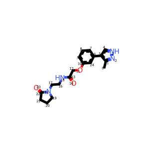 Cc1n[nH]cc1-c1c[c]cc(OCC(=O)NCCN2CCCC2=O)c1